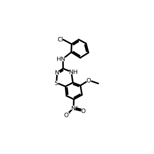 COc1cc([N+](=O)[O-])cc2c1NC(Nc1ccccc1Cl)=NS2